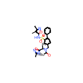 CCCCC(=O)N(Cc1ccc(-c2ccccc2)c(S(=O)(=O)Nc2onc(C)c2C)c1)C(c1nc(C)no1)C(C)C